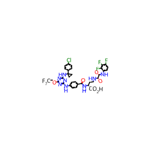 O=C(NCC[C@@H](NC(=O)c1ccc(Nc2nc(NC3(c4ccc(Cl)cc4)CC3)nc(OCC(F)(F)F)n2)cc1)C(=O)O)C(=O)Nc1ccc(F)c(F)c1F